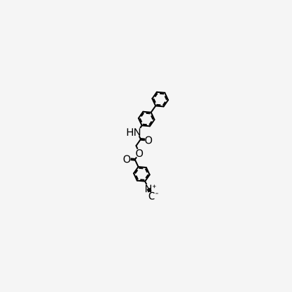 [C-]#[N+]c1ccc(C(=O)OCC(=O)Nc2ccc(-c3ccccc3)cc2)cc1